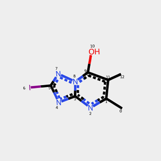 Cc1nc2nc(I)nn2c(O)c1C